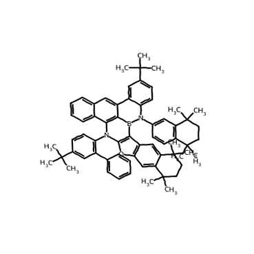 CC(C)(C)c1ccc2c(c1)-c1cc3ccccc3c3c1B(c1c(oc4cc5c(cc14)C(C)(C)CCC5(C)C)N3c1ccc(C(C)(C)C)cc1-c1ccccc1)N2c1ccc2c(c1)C(C)(C)CCC2(C)C